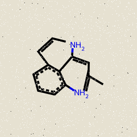 C=C(C)/C=C(/N)c1c(N)cccc1/C=C\C